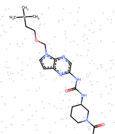 CC(=O)N1CCC[C@@H](NC(=O)Nc2cnc3c(ccn3COCC[Si](C)(C)C)n2)C1